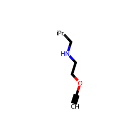 C#COCCNCC(C)C